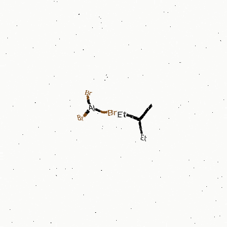 CCC(C)CC.[Br][Al]([Br])[Br]